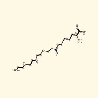 N[C@@H](CCCCNC(=O)CCOCCOCCOCCO)C(=O)O